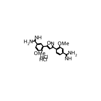 COc1cc(C(=N)N)ccc1-c1cc(-c2cc(C(=N)N)ccc2OC)on1.Cl.Cl